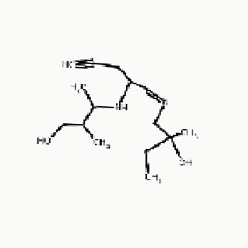 C#CCC(/C=N\CC(C)(O)CC)NC(C)C(C)CO